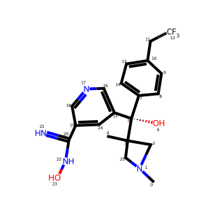 CN1CC(C)([C@](O)(c2ccc(CC(F)(F)F)cc2)c2cncc(C(=N)NO)c2)C1